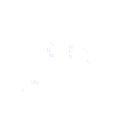 CCNC(=O)c1ccc(-n2nnc(C(=O)NC3CC3)c2CNCc2nccn2C(c2ccccc2)(c2ccccc2)c2ccccc2)cc1